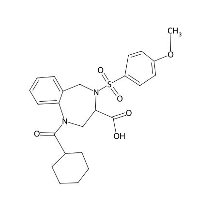 COc1ccc(S(=O)(=O)N2Cc3ccccc3N(C(=O)C3CCCCC3)CC2C(=O)O)cc1